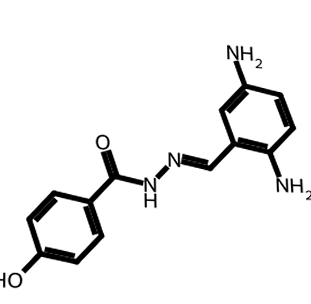 Nc1ccc(N)c(C=NNC(=O)c2ccc(O)cc2)c1